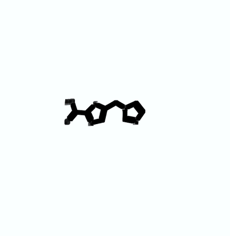 O=C(O)c1ncc(Cn2ccnc2)s1